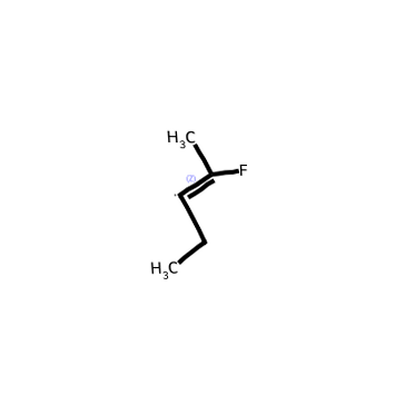 CC/[C]=C(/C)F